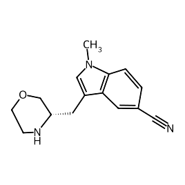 Cn1cc(C[C@H]2COCCN2)c2cc(C#N)ccc21